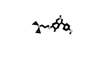 COc1ccc(C2CN(C)CC3=CC(OCCCN(C4CC4)C4CC4)C(C)C=C32)cc1